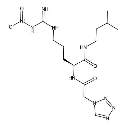 CC(C)CCNC(=O)[C@H](CCCNC(=N)N[N+](=O)[O-])NC(=O)Cn1cnnn1